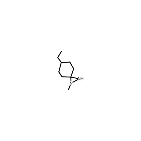 CCC1CCC2(CC1)NN2C